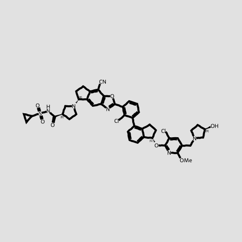 COc1nc(O[C@H]2CCc3c(-c4cccc(-c5nc6cc7c(c(C#N)c6o5)CC[C@H]7N5CC[C@@H](C(=O)NS(=O)(=O)C6CC6)C5)c4Cl)cccc32)c(Cl)cc1CN1CC[C@@H](O)C1